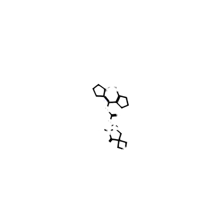 CCC1=C(/C(NC(=O)N=S2(=O)CC3(COC3)C(=O)N2C)=C2/CCC[C@H]2C)CCC1